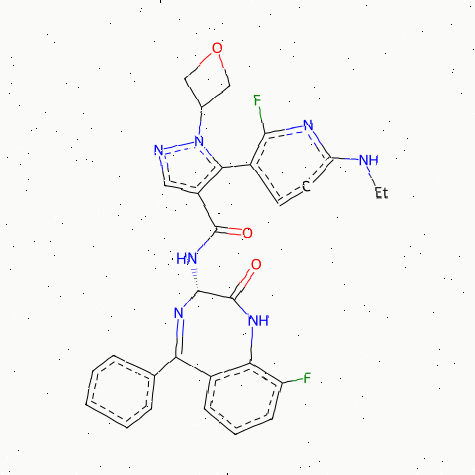 CCNc1ccc(-c2c(C(=O)N[C@H]3N=C(c4ccccc4)c4cccc(F)c4NC3=O)cnn2C2COC2)c(F)n1